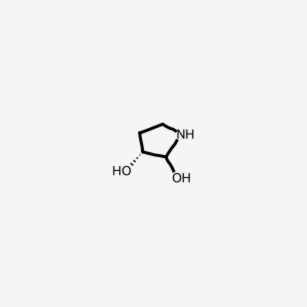 OC1NCC[C@H]1O